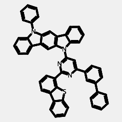 c1ccc(-c2cccc(-c3cc(-n4c5ccccc5c5cc6c(cc54)c4ccccc4n6-c4ccccc4)nc(-c4cccc5c4sc4ccccc45)n3)c2)cc1